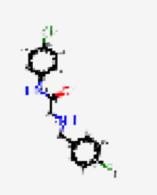 O=C(CNCc1ccc(F)cc1)Nc1ccc(Cl)cc1